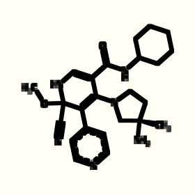 COC1(C#N)NC=C(C(=O)NC2CCCCC2)C(N2CC[C@](C)(N)C2)=C1c1ccncc1